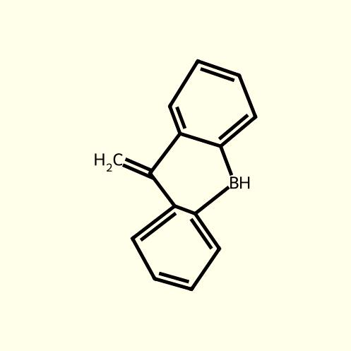 C=C1c2ccccc2Bc2ccccc21